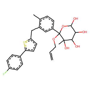 C=CCOC1(c2ccc(C)c(Cc3ccc(-c4ccc(F)cc4)s3)c2)OC(O)C(O)C(O)C1(C)O